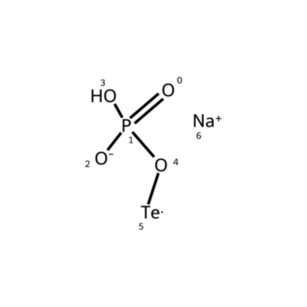 O=P([O-])(O)O[Te].[Na+]